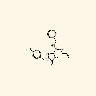 C=CCNN(NCc1ccccc1)[C@H]1NC(=O)[C@H](Cc2ccc(O)cc2)N1